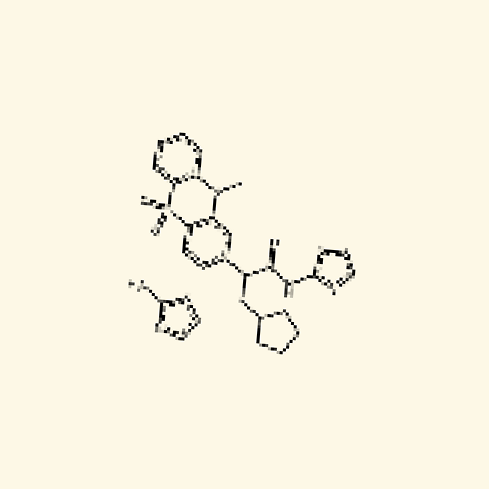 CN1c2ccccc2S(=O)(=O)c2ccc(C(CC3CCCC3)C(=O)Nc3nccs3)cc21.Nc1nccs1